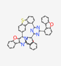 c1ccc(-c2nc(-c3cccc4oc5ccccc5c34)nc(-c3cccc4sc5ccc(-c6nc(-c7ccccc7)nc7c6oc6ccccc67)cc5c34)n2)cc1